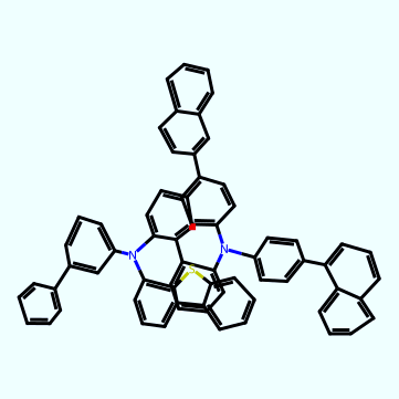 c1ccc(-c2cccc(N(c3ccccc3-c3ccccc3N(c3ccc(-c4ccc5ccccc5c4)cc3)c3ccc(-c4cccc5ccccc45)cc3)c3cccc4c3sc3ccccc34)c2)cc1